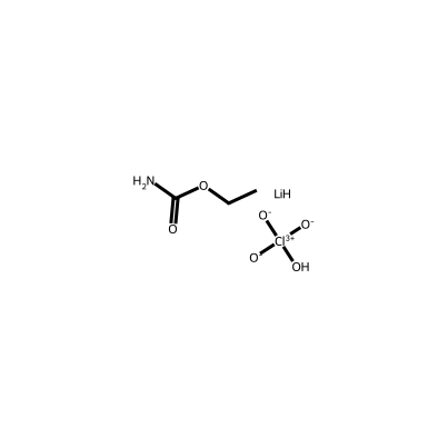 CCOC(N)=O.[LiH].[O-][Cl+3]([O-])([O-])O